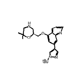 CC1(C)CNC[C@@H](COc2cc(-c3cnn(C(C)(C)C)c3)cc3ncccc23)O1